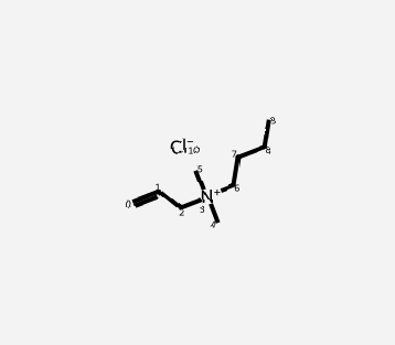 C=CC[N+](C)(C)CCCC.[Cl-]